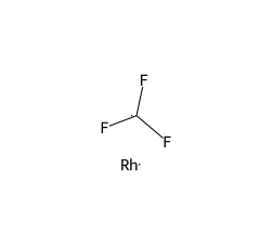 F[C](F)F.[Rh]